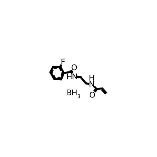 B.C=CC(=O)NCCNC(=O)c1ccccc1F